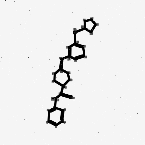 O=C(Nc1cccnc1)N1CCC(=Cc2cccc(OC3CCCC3)c2)CC1